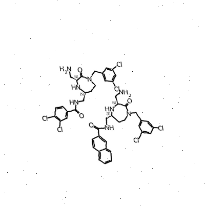 NC[C@@H]1N[C@H](CNC(=O)c2ccc(Cl)c(Cl)c2)CCN(Cc2cc(Cl)cc(Cl)c2)C1=O.NC[C@@H]1N[C@H](CNC(=O)c2ccc3ccccc3c2)CCN(Cc2cc(Cl)cc(Cl)c2)C1=O